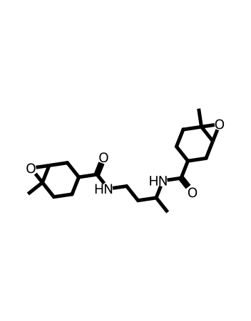 CC(CCNC(=O)C1CCC2(C)OC2C1)NC(=O)C1CCC2(C)OC2C1